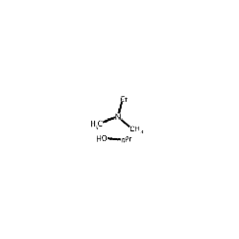 CCCO.CCN(C)C